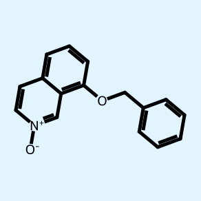 [O-][n+]1ccc2cccc(OCc3ccccc3)c2c1